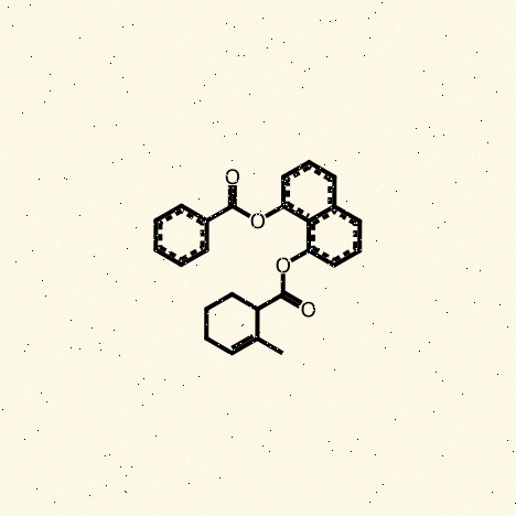 CC1=CCCCC1C(=O)Oc1cccc2cccc(OC(=O)c3ccccc3)c12